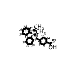 CC(C)(C)[Si](OCc1ccc(C(O)=S)cc1)(c1ccccc1)c1ccccc1